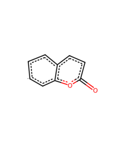 O=c1ccc2cc[c]cc2o1